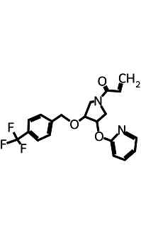 C=CC(=O)N1CC(OCc2ccc(C(F)(F)F)cc2)C(Oc2ccccn2)C1